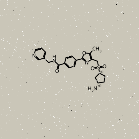 Cc1oc(-c2ccc(C(=O)NCc3cccnc3)cc2)nc1CS(=O)(=O)[C@H]1CC[C@H](N)C1